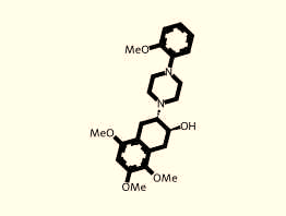 COc1ccccc1N1CCN([C@H]2Cc3c(OC)cc(OC)c(OC)c3C[C@@H]2O)CC1